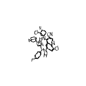 N#Cc1cnc2c(Cl)cc(N[C@@H](c3ccc(F)cc3)c3cn(C4CN5CCC4CC5)nn3)cc2c1Nc1ccc(F)c(Cl)c1